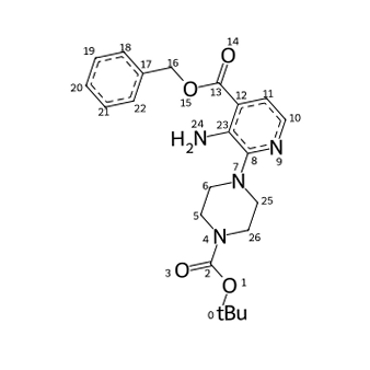 CC(C)(C)OC(=O)N1CCN(c2nccc(C(=O)OCc3ccccc3)c2N)CC1